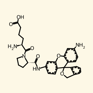 Nc1ccc2c(c1)Oc1cc(NC(=O)[C@@H]3CCCN3C(=O)[C@@H](N)CCCC(=O)O)ccc1C21OCc2ccccc21